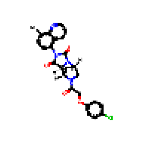 N#Cc1ccc(N2C(=O)[C@@H]3[C@@H]4C[C@@H](CN4C(=O)COc4ccc(Cl)cc4)N3C2=O)c2cccnc12